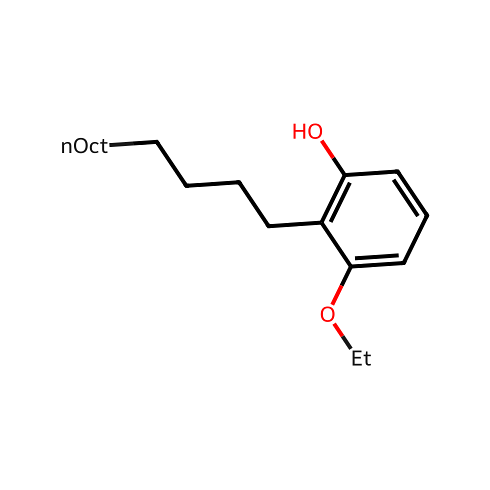 CCCCCCCCCCCCc1c(O)cccc1OCC